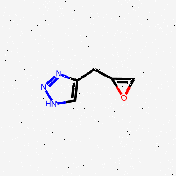 C1=C(Cc2c[nH]nn2)O1